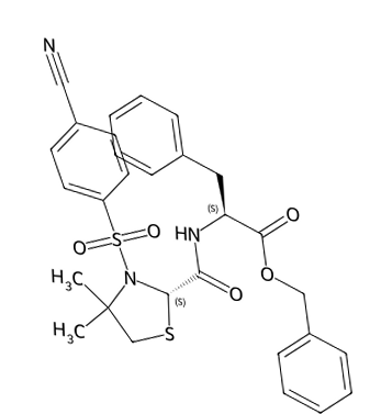 CC1(C)CS[C@@H](C(=O)N[C@@H](Cc2ccccc2)C(=O)OCc2ccccc2)N1S(=O)(=O)c1ccc(C#N)cc1